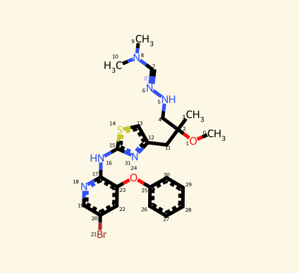 COC(C)(CN/N=C/N(C)C)Cc1csc(Nc2ncc(Br)cc2Oc2ccccc2)n1